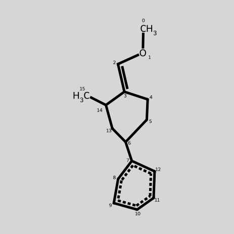 COC=C1CCC(c2ccccc2)CC1C